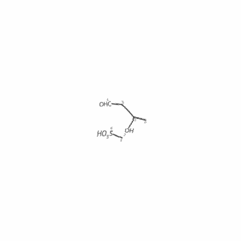 CC(O)CC=O.CS(=O)(=O)O